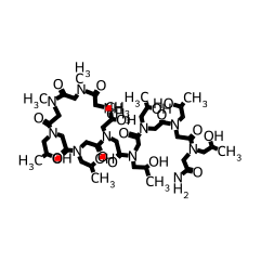 CNCC(=O)N(C)CC(=O)N(C)CC(=O)N(CC(=O)N(CC(=O)N(CC(=O)N(CC(=O)N(CC(=O)N(CC(=O)N(CC(N)=O)CC(C)O)CC(C)O)CC(C)O)CC(C)O)CC(C)O)CC(C)O)CC(C)O